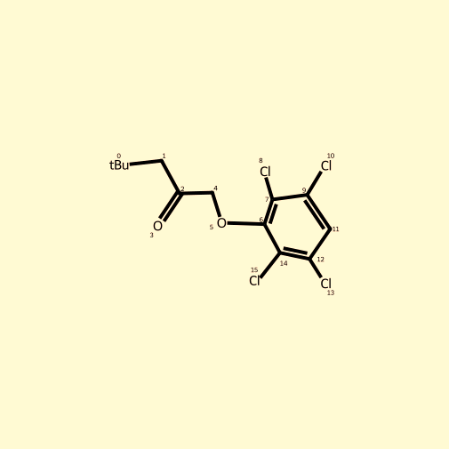 CC(C)(C)CC(=O)COc1c(Cl)c(Cl)cc(Cl)c1Cl